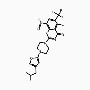 Cc1c(C(F)(F)F)cc([N+](=O)[O-])c2sc(N3CCN(c4nc(CC(C)C)no4)CC3)nc(=O)c12